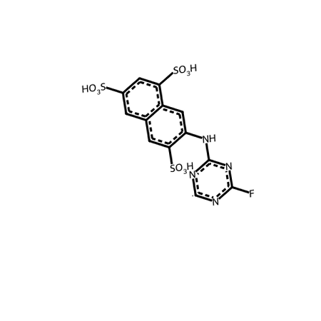 O=S(=O)(O)c1cc(S(=O)(=O)O)c2cc(Nc3n[c]nc(F)n3)c(S(=O)(=O)O)cc2c1